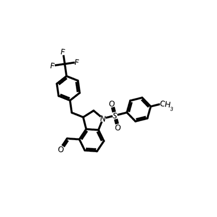 Cc1ccc(S(=O)(=O)N2CC(Cc3ccc(C(F)(F)F)cc3)c3c(C=O)cccc32)cc1